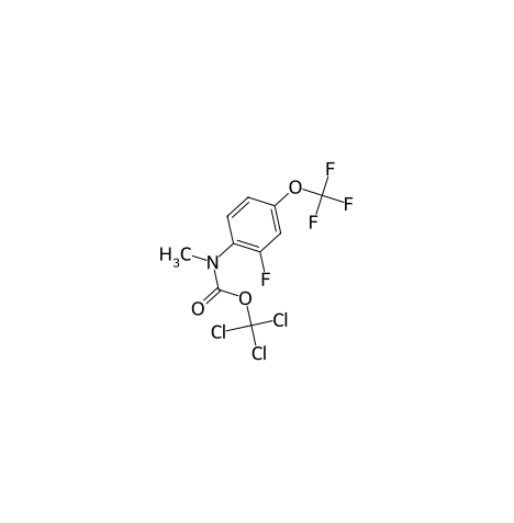 CN(C(=O)OC(Cl)(Cl)Cl)c1ccc(OC(F)(F)F)cc1F